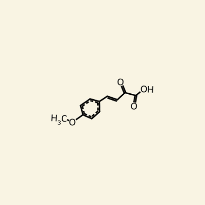 COc1ccc(/C=C/C(=O)C(=O)O)cc1